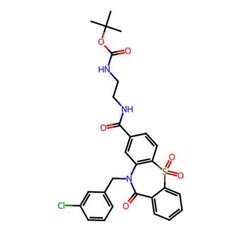 CC(C)(C)OC(=O)NCCNC(=O)c1ccc2c(c1)N(Cc1cccc(Cl)c1)C(=O)c1ccccc1S2(=O)=O